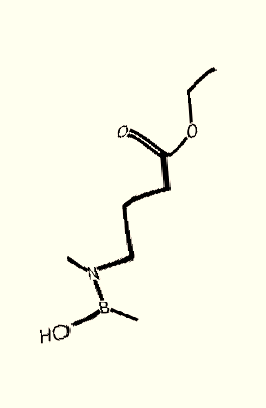 CCOC(=O)CCCN(C)B(C)O